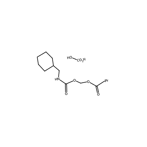 CC(C)C(=O)OCOC(=O)NCC1CCCCC1.O=C(O)O